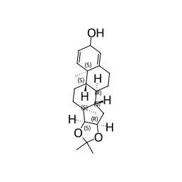 CC1(C)O[C@@H]2[C@@H](C[C@H]3[C@@H]4CCC5=CC(O)C=C[C@]5(C)[C@H]4CC[C@]23C)O1